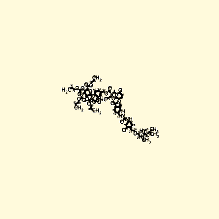 C#CCN(CN1C(=O)CCC(N2Cc3cc(CNC(=O)Nc4ccc(CCOCCN(C)C(=O)OC(C)(C)C)c(Cl)c4)ccc3C2=O)C1=O)C(=O)OCc1ccc(O[C@@H]2O[C@H](C(=O)OCC=C)[C@@H](OC(=O)OCC=C)[C@H](OC(=O)OCC=C)[C@H]2OC(=O)OCC=C)c([N+](=O)[O-])c1